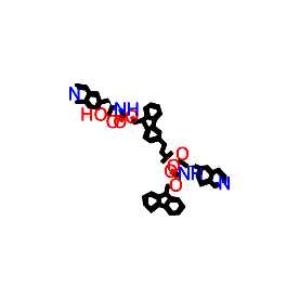 CC(C)(CCc1ccc2c(c1)-c1ccccc1C2COC(=O)N[C@@H](Cc1ccc2cnccc2c1)C(=O)O)OC(=O)[C@H](Cc1ccc2cnccc2c1)NC(=O)OCC1c2ccccc2-c2ccccc21